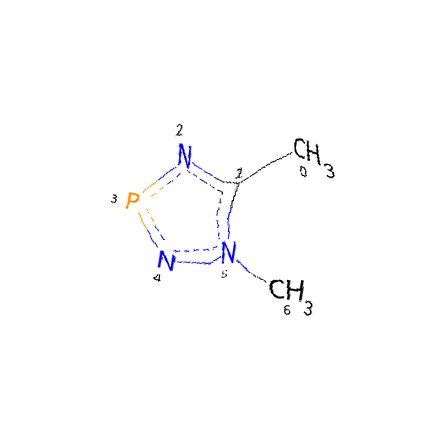 Cc1npnn1C